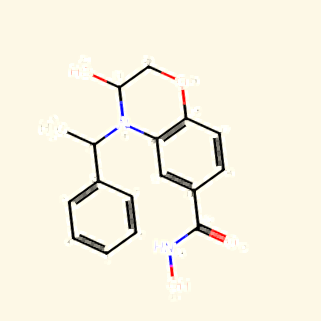 CC(c1ccccc1)N1c2cc(C(=O)NO)ccc2OCC1O